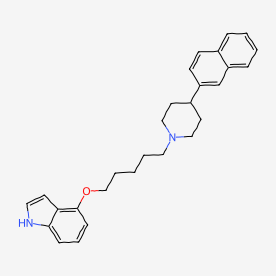 c1ccc2cc(C3CCN(CCCCCOc4cccc5[nH]ccc45)CC3)ccc2c1